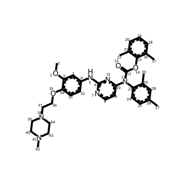 COc1cc(Nc2nccc(N(C(=O)Oc3c(C)cccc3C)c3ccc(C)cc3C)n2)ccc1OCCN1CCN(C)CC1